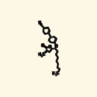 C=C1CC(C(CCCCCCCC)OC2=CC=C(C3=CC=C(C#N)CC3)CC2)OC1=O